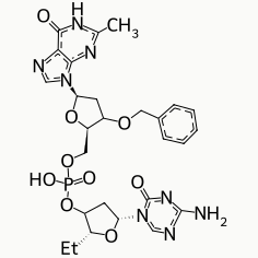 CC[C@H]1O[C@@H](n2cnc(N)nc2=O)CC1OP(=O)(O)OC[C@H]1O[C@@H](n2cnc3c(=O)[nH]c(C)nc32)CC1OCc1ccccc1